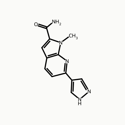 Cn1c(C(N)=O)cc2ccc(-c3cn[nH]c3)nc21